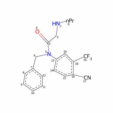 CCCNCC(=O)N(Cc1ccccc1)c1ccc(C#N)c(C(F)(F)F)c1